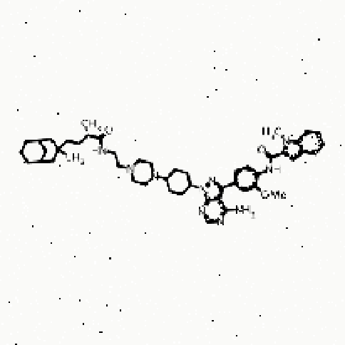 COc1cc(-c2nn(C3CCC(N4CCN(CCNC(=O)[C@@H](C)CCC5(C)CC6CCCC(C6)C5)CC4)CC3)c3ncnc(N)c23)ccc1NC(=O)c1cc2ccccc2n1C